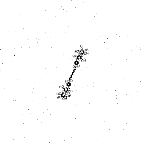 O=C(CCCCCCCCC(=O)Nc1ccc(S[C@@H]2O[C@H](CO)[C@@H](O[C@H]3O[C@H](CO)[C@@H](O)[C@H](O)[C@H]3O)[C@H](O)[C@H]2O)cc1)Nc1ccc(S[C@@H]2O[C@H](CO)[C@@H](O[C@H]3O[C@H](CO)[C@@H](O)[C@H](O)[C@H]3O)[C@H](O)[C@H]2O)cc1